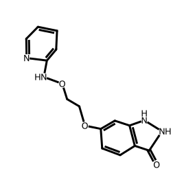 O=c1[nH][nH]c2cc(OCCONc3ccccn3)ccc12